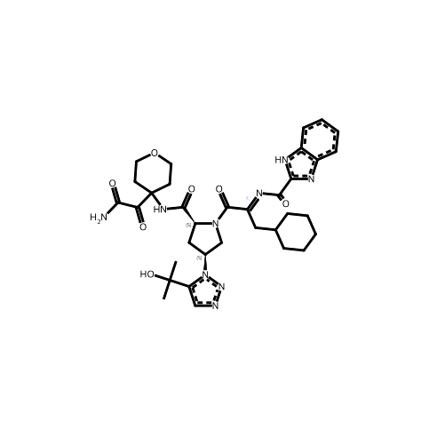 CC(C)(O)c1cnnn1[C@H]1C[C@@H](C(=O)NC2(C(=O)C(N)=O)CCOCC2)N(C(=O)/C(CC2CCCCC2)=N/C(=O)c2nc3ccccc3[nH]2)C1